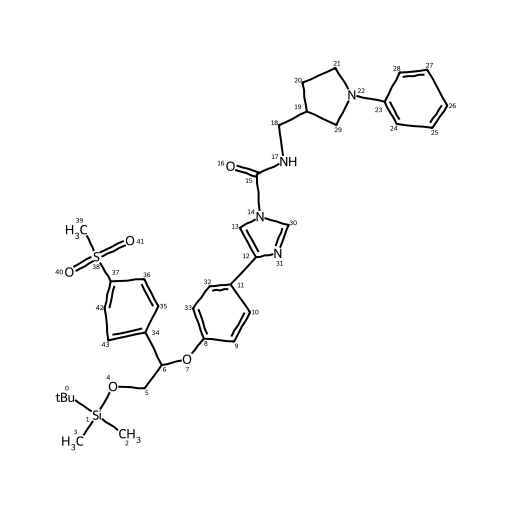 CC(C)(C)[Si](C)(C)OCC(Oc1ccc(-c2cn(C(=O)NCC3CCN(c4ccccc4)C3)cn2)cc1)c1ccc(S(C)(=O)=O)cc1